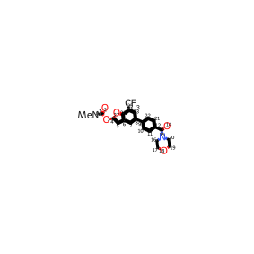 CNC(=O)Oc1cc2cc(-c3ccc(C(=O)N4CCOCC4)cc3)cc(C(F)(F)F)c2o1